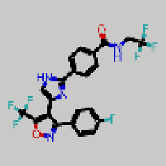 O=C(NCC(F)(F)F)c1ccc(-c2nc(-c3c(-c4ccc(F)cc4)noc3C(F)(F)F)c[nH]2)cc1